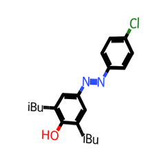 CCC(C)c1cc(N=Nc2ccc(Cl)cc2)cc(C(C)CC)c1O